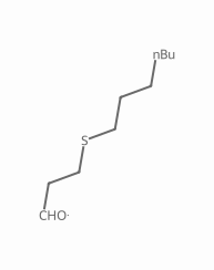 CCCCCCCSCC[C]=O